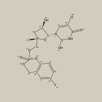 O=C1NC(O)N([C@@H]2O[C@](F)(COP3(=O)OCc4cc(F)ccc4O3)C[C@H]2O)C=C1Cl